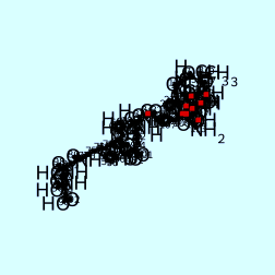 CC[C@H](C)[C@@H]1NC(=O)CNC(=O)C2Cc3c4[nH]c5cc(ccc35)OC(Cc3ccc(NC(=O)[C@H](C)NC(=O)[C@@H](NC(=O)CSC[C@@H](NC(=O)[C@H](Cc5ccccc5)NC(=O)[C@H](Cc5ccccc5)NC(=O)CCCCCCCNC(=O)CCC(NC(=O)NC(CCC(=O)O)C(=O)O)C(=O)O)C(=O)O)C(C)C)cc3)(C(=O)[C@H](CC(N)=O)NC(=O)C(CS4)NC(=O)CNC1=O)N1C[C@H](O)C[C@]1(C=O)N[C@@H]([C@@H](C)[C@@H](O)CO)C(=O)N2